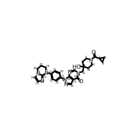 O=C(C1CC1)N1CCC(O)(Cn2cnc3c(cnn3-c3ccc(N4CCCn5ccnc54)cc3)c2=O)CC1